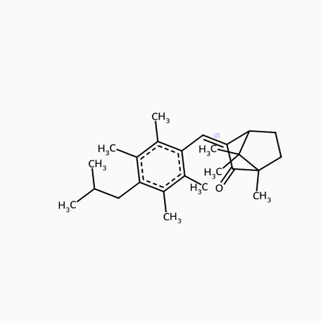 Cc1c(C)c(CC(C)C)c(C)c(C)c1/C=C1\C(=O)C2(C)CCC1C2(C)C